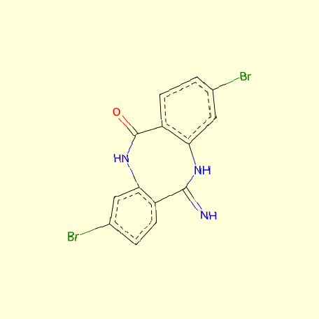 N=C1Nc2cc(Br)ccc2C(=O)Nc2cc(Br)ccc21